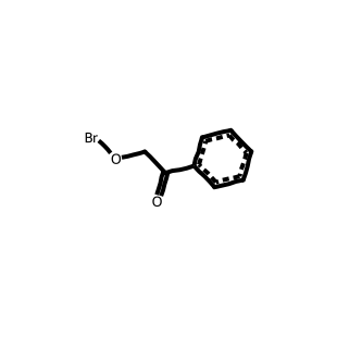 O=C(COBr)c1ccccc1